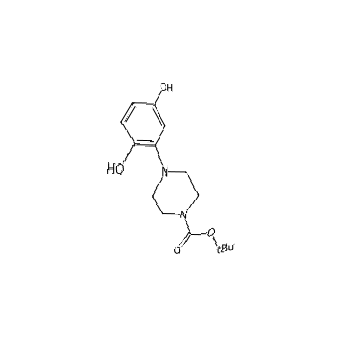 CC(C)(C)OC(=O)N1CCN(c2cc(O)ccc2O)CC1